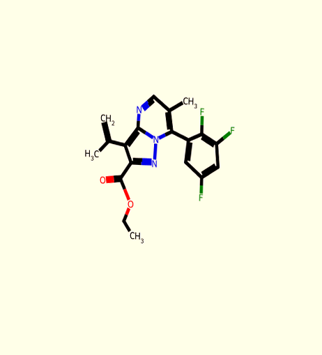 C=C(C)c1c(C(=O)OCC)nn2c(-c3cc(F)cc(F)c3F)c(C)cnc12